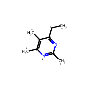 CCc1nc(C)nc(C)c1C